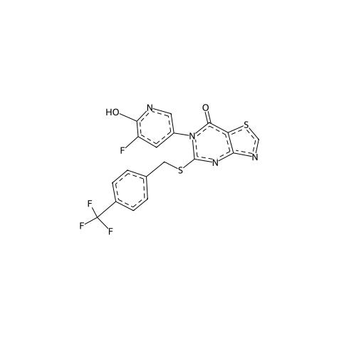 O=c1c2scnc2nc(SCc2ccc(C(F)(F)F)cc2)n1-c1cnc(O)c(F)c1